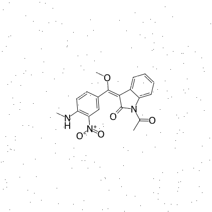 CNc1ccc(C(OC)=C2C(=O)N(C(C)=O)c3ccccc32)cc1[N+](=O)[O-]